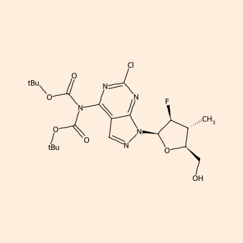 C[C@H]1[C@H](F)[C@H](n2ncc3c(N(C(=O)OC(C)(C)C)C(=O)OC(C)(C)C)nc(Cl)nc32)O[C@@H]1CO